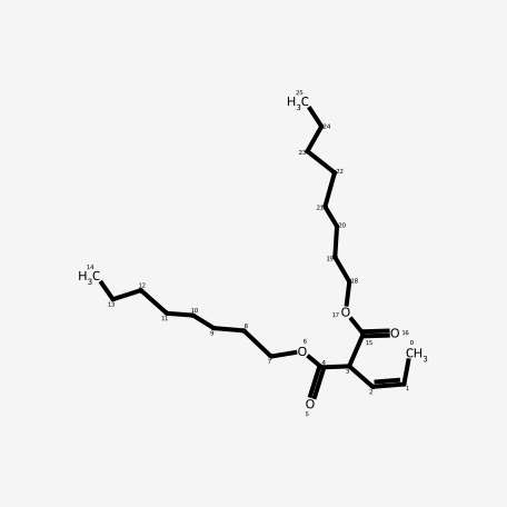 C/C=C\C(C(=O)OCCCCCCCC)C(=O)OCCCCCCCC